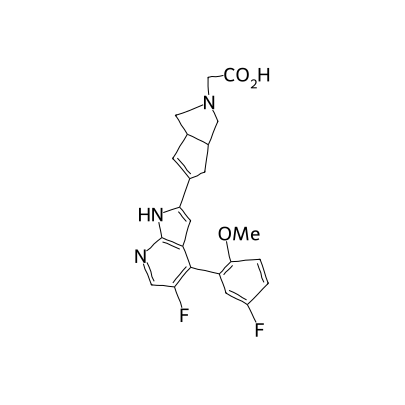 COc1ccc(F)cc1-c1c(F)cnc2[nH]c(C3=CC4CN(CC(=O)O)CC4C3)cc12